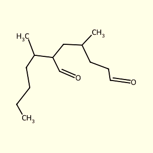 CCCCC(C)C(C=O)CC(C)CCC=O